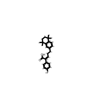 CC1(C)CCC(C)(C)c2cc(CCC=C(C(=O)O)c3ccc(F)cc3)ccc21